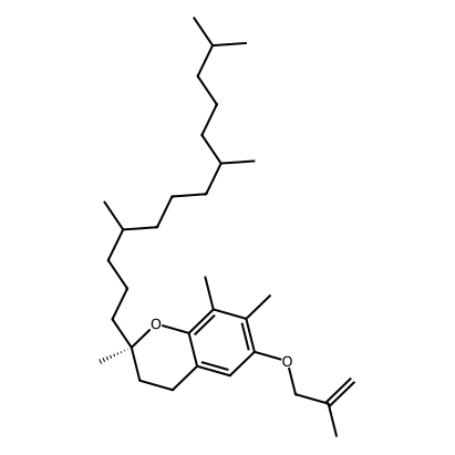 C=C(C)COc1cc2c(c(C)c1C)O[C@](C)(CCCC(C)CCCC(C)CCCC(C)C)CC2